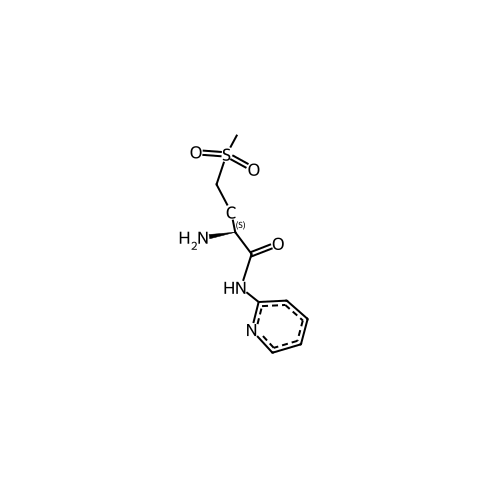 CS(=O)(=O)CC[C@H](N)C(=O)Nc1ccccn1